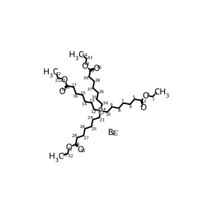 CCOC(=O)CCCCCC[P+](CCCCCCC(=O)OCC)(CCCCCCC(=O)OCC)CCCCCCC(=O)OCC.[Br-]